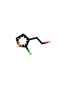 [O]CCc1ccsc1Br